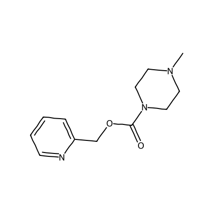 CN1CCN(C(=O)OCc2ccccn2)CC1